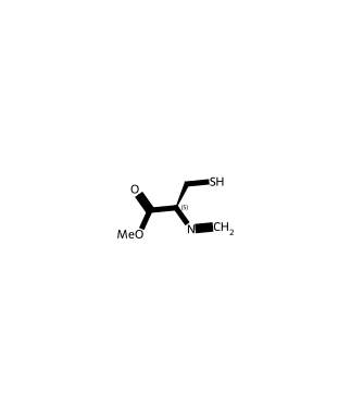 C=N[C@H](CS)C(=O)OC